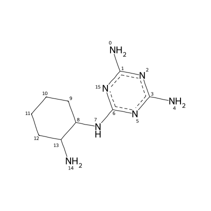 Nc1nc(N)nc(NC2CCCCC2N)n1